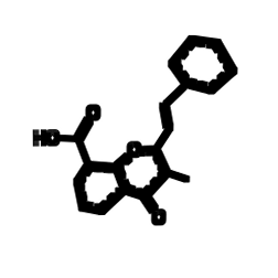 Cc1c(C=Cc2ccccc2)oc2c(C(=O)O)cccc2c1=O